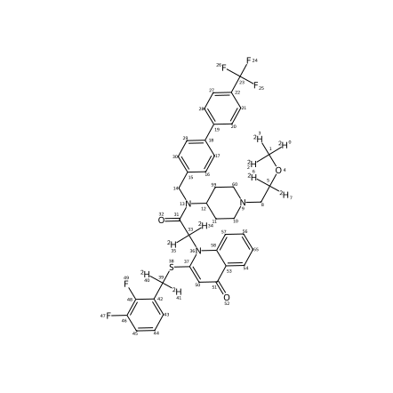 [2H]C([2H])([2H])OC([2H])([2H])CN1CCC(N(Cc2ccc(-c3ccc(C(F)(F)F)cc3)cc2)C(=O)C([2H])([2H])n2c(SC([2H])([2H])c3cccc(F)c3F)cc(=O)c3ccccc32)CC1